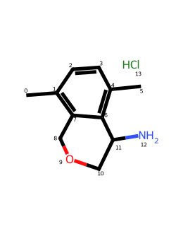 Cc1ccc(C)c2c1COCC2N.Cl